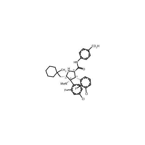 CN[C@]1(c2ccc(Cl)cc2F)[C@H](CC2(C)CCCCC2)N[C@@H](C(=O)Nc2ccc(C(=O)O)cc2)[C@@H]1c1cccc(Cl)c1F